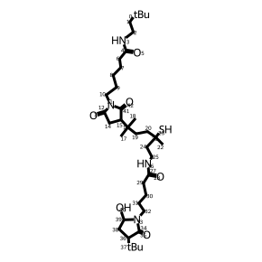 CC(C)(C)CCNC(=O)CCCCCN1C(=O)CC(C(C)(C)CCC(C)(S)CCNC(=O)CCCCN2C(=O)C(C(C)(C)C)CC2O)C1=O